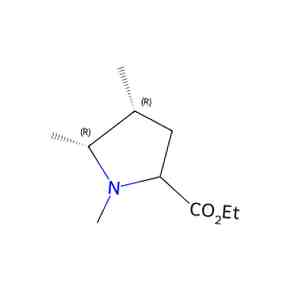 CCOC(=O)C1C[C@@H](C)[C@@H](C)N1C